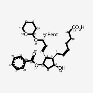 CCCCC[C@H](/C=C/[C@@H]1[C@@H](C/C=C\CCCC(=O)O)[C@@H](O)C[C@H]1OC(=O)c1ccccc1)OC1CCCCO1